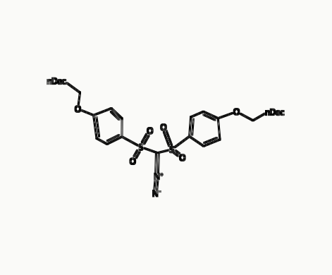 CCCCCCCCCCCOc1ccc(S(=O)(=O)C(=[N+]=[N-])S(=O)(=O)c2ccc(OCCCCCCCCCCC)cc2)cc1